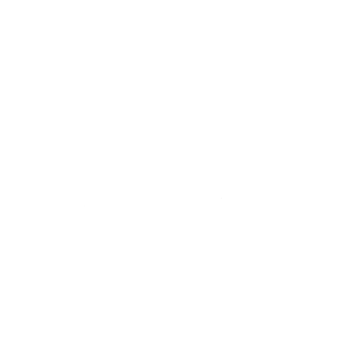 CCCc1ccc(-c2ccccc2)c2ccccc12